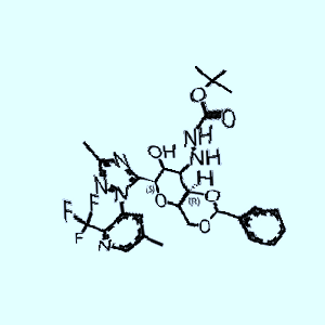 Cc1cnc(C(F)(F)F)c(-n2nc(C)nc2[C@@H]2OC3COC(c4ccccc4)O[C@@H]3C(NNC(=O)OC(C)(C)C)C2O)c1